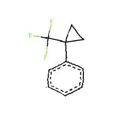 FC(F)(F)C1(c2c[c]ccc2)CC1